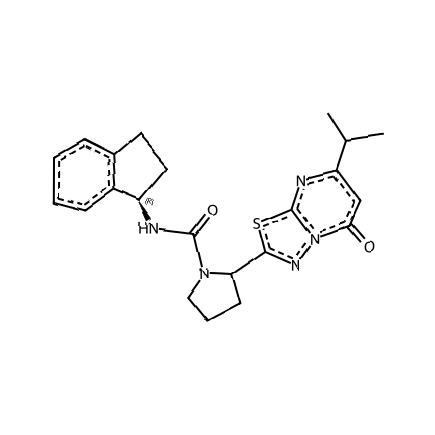 CC(C)c1cc(=O)n2nc(C3CCCN3C(=O)N[C@@H]3CCc4ccccc43)sc2n1